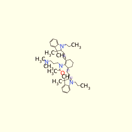 CCCN1/C(=C/C=C2\CCCC(/C=C/C3=[N+](CCC)c4ccccc4C3(C)C)=C2N(CCCN(C)C)C(C)=O)C(C)(C)c2ccccc21